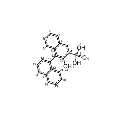 O=P(O)(O)c1cc2ccccc2c(-c2cccc3ccccc23)c1O